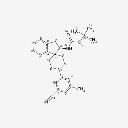 Cc1cc(C#N)nc(N2CCC3(CC2)c2ccccc2C[C@H]3NC(=O)OC(C)(C)C)n1